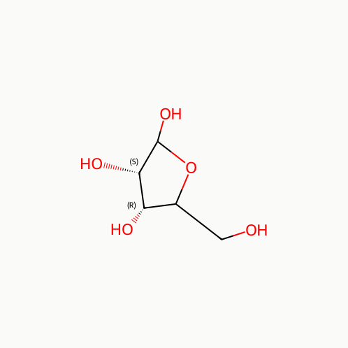 OCC1OC(O)[C@@H](O)[C@H]1O